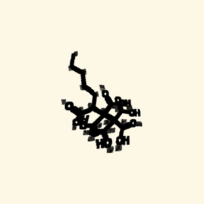 CCCCCC(C(=O)O)C(C(=O)O)(C(=O)O)C(C(=O)O)(C(=O)O)C(=O)O